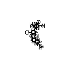 N#Cc1nn(-c2cc(Cl)c(Oc3ccc4nc(C5CC5)ccc4c3)c(Cl)c2)c(=O)[nH]c1=O